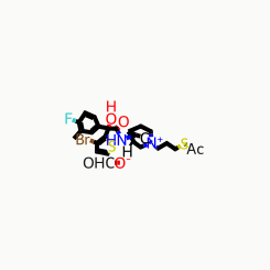 CC(=O)SCCC[N+]12CCC(CC1)[C@@H](NC(=O)C(O)(c1ccc(F)c(C)c1)c1sccc1Br)C2.O=C[O-]